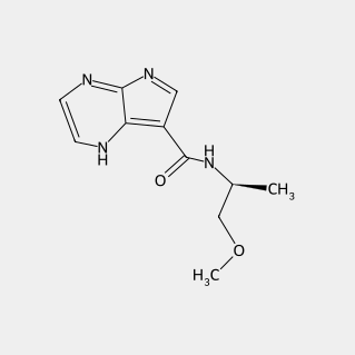 COC[C@H](C)NC(=O)c1cnc2ncc[nH]c1-2